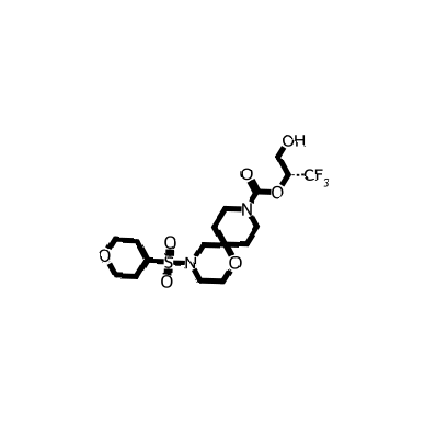 O=C(O[C@H](CO)C(F)(F)F)N1CCC2(CC1)CN(S(=O)(=O)C1CCOCC1)CCO2